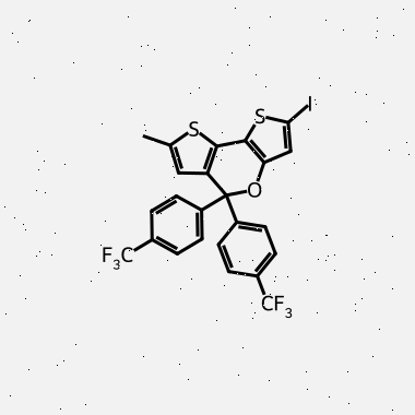 Cc1cc2c(s1)-c1sc(I)cc1OC2(c1ccc(C(F)(F)F)cc1)c1ccc(C(F)(F)F)cc1